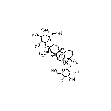 C=C1C[C@]23CC[C@H]4C(C)(C(=O)O[C@@H]5O[C@H](CO)[C@@H](O)[C@H](O)[C@H]5O)CCC[C@]4(C)[C@H]2CC[C@]1(O[C@@H]1O[C@H](CO)[C@@H](O)[C@H](O)[C@H]1O)C3